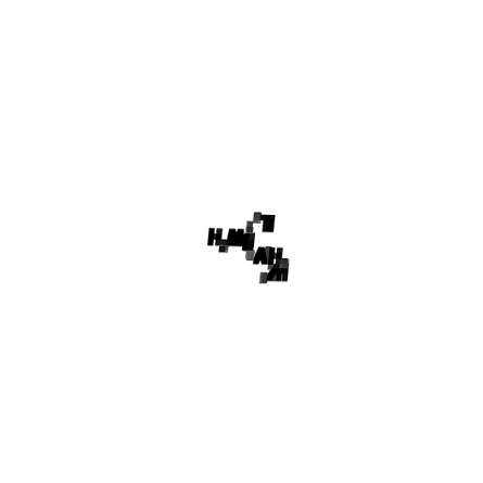 [AlH3].[MgH2].[Ti].[Zn]